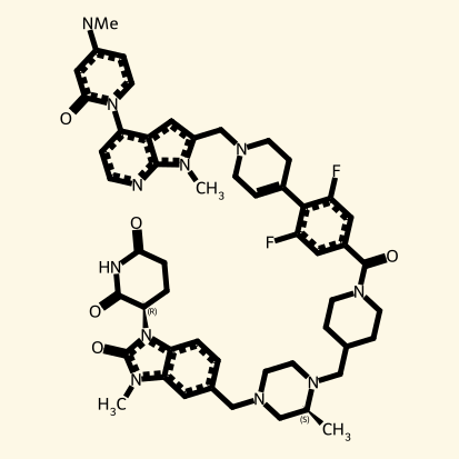 CNc1ccn(-c2ccnc3c2cc(CN2CC=C(c4c(F)cc(C(=O)N5CCC(CN6CCN(Cc7ccc8c(c7)n(C)c(=O)n8[C@@H]7CCC(=O)NC7=O)C[C@@H]6C)CC5)cc4F)CC2)n3C)c(=O)c1